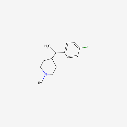 [CH2]C(c1ccc(F)cc1)C1CCN(C(C)C)CC1